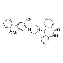 COc1cccnc1-c1ccc(N2CCN(C3c4ccccc4NC(=O)c4ccccc43)CC2)c(C#N)c1